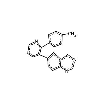 Cc1ccc(-c2ncccc2-c2ccc3ncncc3c2)cc1